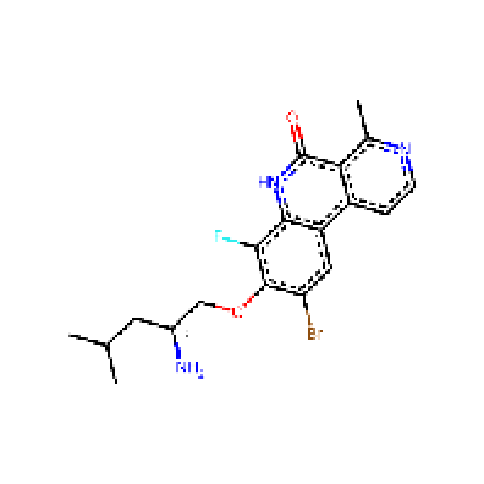 Cc1nccc2c1c(=O)[nH]c1c(F)c(OC[C@@H](N)CC(C)C)c(Br)cc12